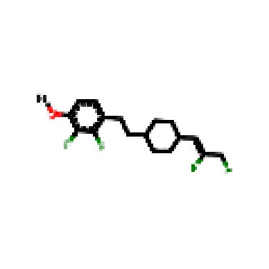 CCOc1ccc(CCC2CCC(/C=C(\F)CF)CC2)c(F)c1F